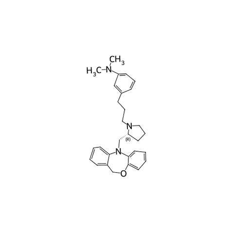 CN(C)c1cccc(CCCN2CCC[C@@H]2CN2c3ccccc3COc3ccccc32)c1